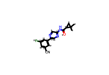 CC1(C)CC1C(=O)Nc1cnc(-c2cc(F)cc(C#N)c2)cn1